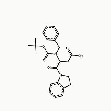 CC(C)(C)OC(=O)N(Cc1ccccc1)C(CC(=O)O)C(=O)N1CCc2ccccc21